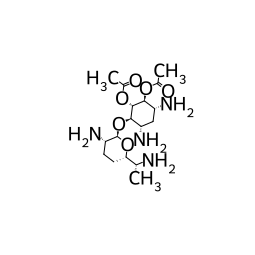 CC(=O)O[C@@H]1[C@@H](OC(C)=O)[C@H](N)C[C@H](N)[C@H]1O[C@H]1O[C@H]([C@@H](C)N)CC[C@@H]1N